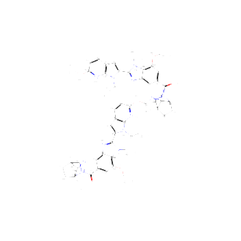 CCn1c(-c2nc3cc(C(=O)N4C[C@@H]5CC[C@H]4[C@H]5NCOc4ccc5cc(-c6nc7cc(C(=O)N8C[C@H]9CC[C@@H]8[C@@H]9N)cc(OC)c7n6C)n(CC)c5n4)cc(OC)c3n2C)cc2ccc(OC)nc21